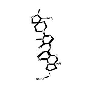 COC[C@H]1C[C@H]2COc3c(Sc4cnc(N5CCC6(CC5)CO[C@@H](C)[C@H]6N)n(C)c4=O)ccnc3N2C1